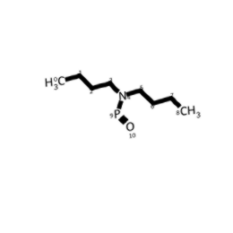 CCCCN(CCCC)P=O